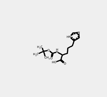 CC(C)(C)OC(=O)NC(CCCc1cnc[nH]1)C(=O)O